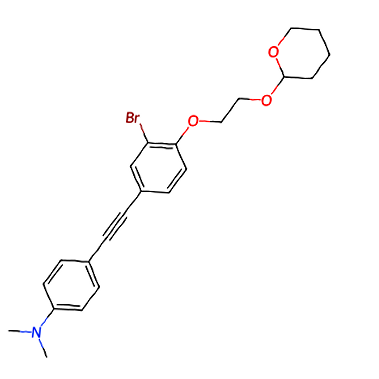 CN(C)c1ccc(C#Cc2ccc(OCCOC3CCCCO3)c(Br)c2)cc1